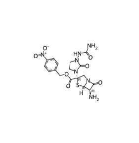 NC(=O)NN1CCN([C@]2(C(=O)OCc3ccc([N+](=O)[O-])cc3)CN3C(=O)[C@@H](N)[C@H]3S2)C1=O